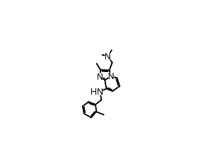 Cc1ccccc1CNc1cccn2c(CN(C)C)c(C)nc12